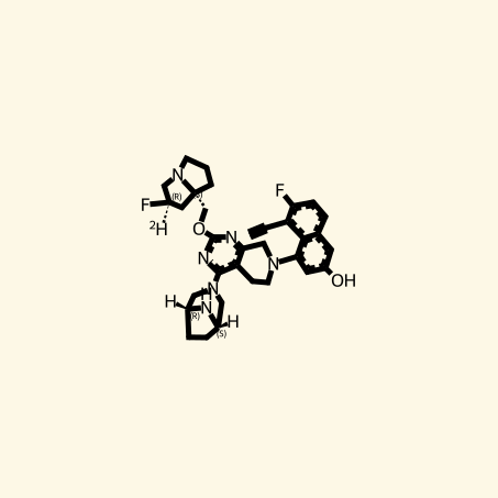 [2H][C@]1(F)CN2CCC[C@@]2(COc2nc3c(c(N4C[C@H]5CC[C@@H](C4)N5)n2)CCN(c2cc(O)cc4ccc(F)c(C#C)c24)C3)C1